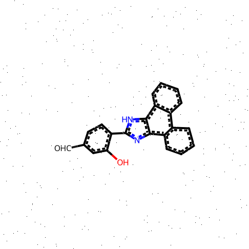 O=Cc1ccc(-c2nc3c4ccccc4c4ccccc4c3[nH]2)c(O)c1